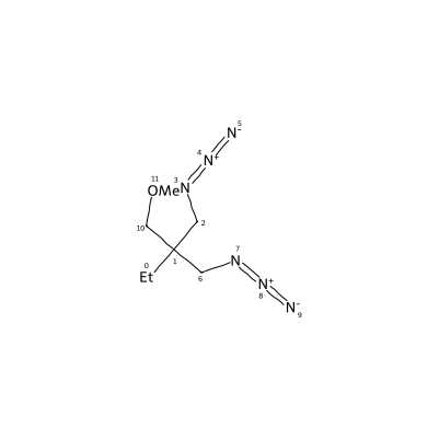 CCC(CN=[N+]=[N-])(CN=[N+]=[N-])COC